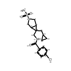 CCCS(=O)(=O)N1CC2C(C1)C2(CNC(=O)c1ccc(Cl)cc1)CC1CC1